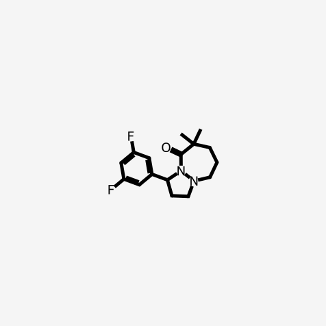 CC1(C)CCCN2CCC(c3cc(F)cc(F)c3)N2C1=O